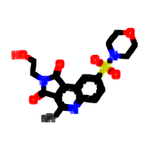 CCCc1nc2ccc(S(=O)(=O)N3CCOCC3)cc2c2c1C(=O)N(CCO)C2=O